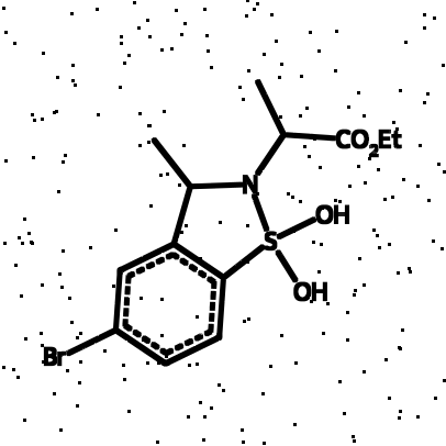 CCOC(=O)C(C)N1C(C)c2cc(Br)ccc2S1(O)O